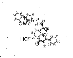 COc1ccccc1N1CCN(CCN(C)C(=O)c2cccc3c(=O)c(C)c(-c4ccccc4)oc23)CC1.Cl